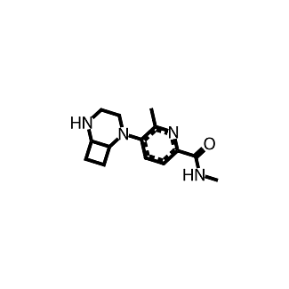 CNC(=O)c1ccc(N2CCNC3CCC32)c(C)n1